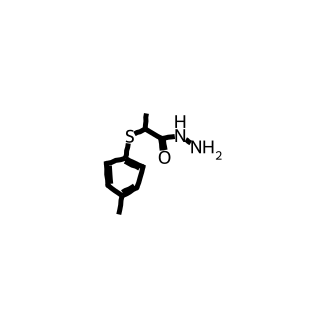 Cc1ccc(SC(C)C(=O)NN)cc1